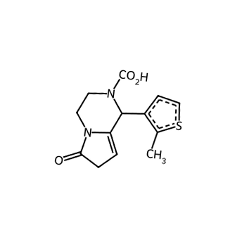 Cc1sccc1C1C2=CCC(=O)N2CCN1C(=O)O